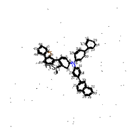 C[SiH]1C2=C(C=CC(N(C3=CCC(C4=CCCC=C4)C=C3)c3ccc(-c4ccc5ccccc5c4)cc3)C2)c2c1ccc1c2sc2ccccc21